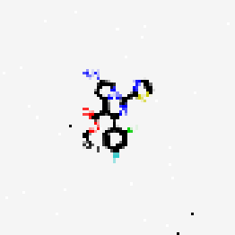 CCOC(=O)C1=C2C[C@H](N)CN2C(c2nccs2)=N[C@H]1c1ccc(F)cc1Cl